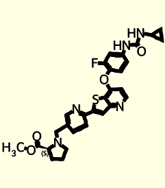 COC(=O)[C@@H]1CCCN1Cc1ccc(-c2cc3nccc(Oc4ccc(NC(=O)NC5CC5)cc4F)c3s2)nc1